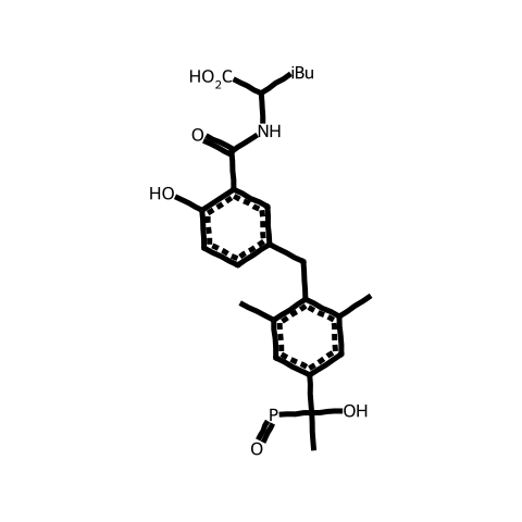 CCC(C)C(NC(=O)c1cc(Cc2c(C)cc(C(C)(O)P=O)cc2C)ccc1O)C(=O)O